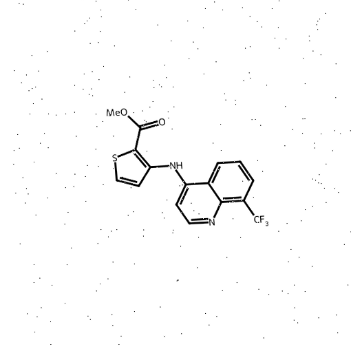 COC(=O)c1sccc1Nc1ccnc2c(C(F)(F)F)cccc12